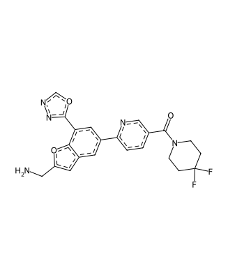 NCc1cc2cc(-c3ccc(C(=O)N4CCC(F)(F)CC4)cn3)cc(-c3nnco3)c2o1